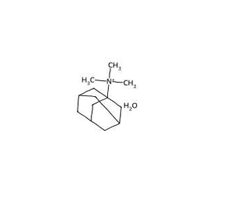 C[N+](C)(C)C12CC3CC(CC(C3)C1)C2.O